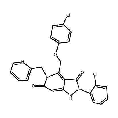 O=c1c2c(COc3ccc(Cl)cc3)n(Cc3ccccn3)c(=O)cc2[nH]n1-c1ccccc1Cl